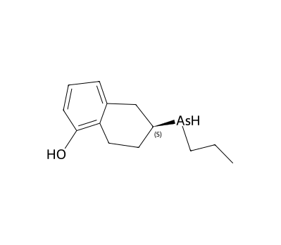 CCC[AsH][C@H]1CCc2c(O)cccc2C1